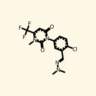 CN(C)N=Cc1cc(-n2c(=O)cc(C(F)(F)F)n(C)c2=O)ccc1Cl